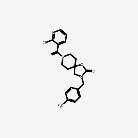 O=C1OC2(CCN(C(=O)c3cccnc3Cl)CC2)CN1Cc1ccc(C(F)(F)F)cc1